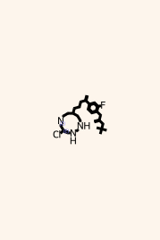 C=C(Cc1ccc(C(=C)CCCC2CC/N=C\C(Cl)=C/NCNCC2)cc1F)CC(C)(C)C